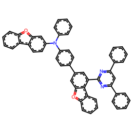 c1ccc(-c2cc(-c3ccccc3)nc(-c3cc(-c4ccc(N(c5ccccc5)c5ccc6c(c5)oc5ccccc56)cc4)cc4oc5ccccc5c34)n2)cc1